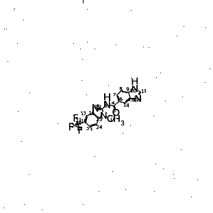 Cn1c(NC(=O)c2ccc3[nH]cnc3c2)nc2cc(C(F)(F)F)ccc21